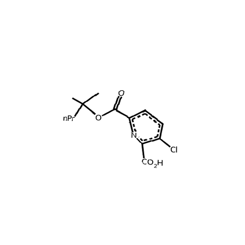 CCCC(C)(C)OC(=O)c1ccc(Cl)c(C(=O)O)n1